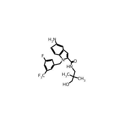 CC(C)(CO)CNC(=O)c1cc2cc(N)ccc2n1Cc1cc(F)cc(C(F)(F)F)c1